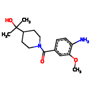 COc1cc(C(=O)N2CCC(C(C)(C)O)CC2)ccc1N